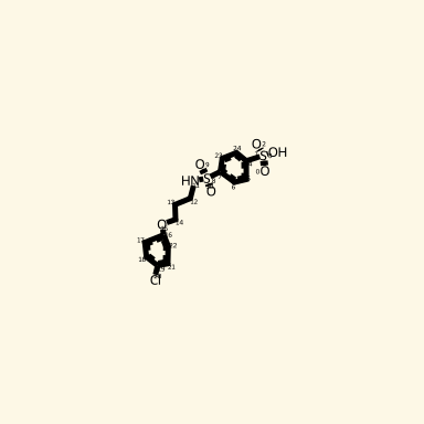 O=S(=O)(O)c1ccc(S(=O)(=O)NCCCOc2ccc(Cl)cc2)cc1